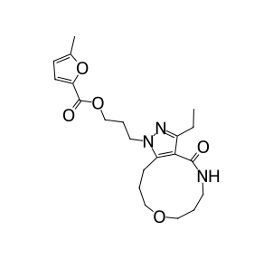 CCc1nn(CCCOC(=O)c2ccc(C)o2)c2c1C(=O)NCCCOCCC2